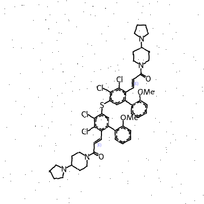 COc1ccccc1-c1cc(Sc2cc(-c3ccccc3OC)c(/C=C/C(=O)N3CCC(N4CCCC4)CC3)c(Cl)c2Cl)c(Cl)c(Cl)c1/C=C/C(=O)N1CCC(N2CCCC2)CC1